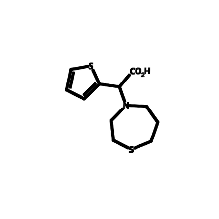 O=C(O)C(c1cccs1)N1CCCSCC1